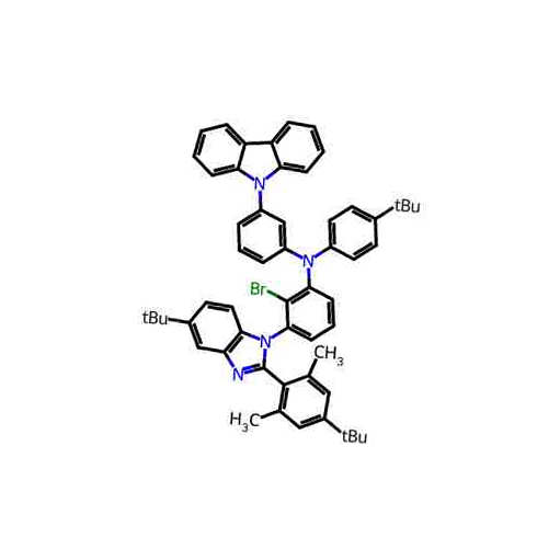 Cc1cc(C(C)(C)C)cc(C)c1-c1nc2cc(C(C)(C)C)ccc2n1-c1cccc(N(c2ccc(C(C)(C)C)cc2)c2cccc(-n3c4ccccc4c4ccccc43)c2)c1Br